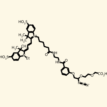 CCN1/C(=C/C=C/C2=[N+](CCCCCC(=O)NCCNC(=O)c3cccc(OCC(N=[N+]=[N-])OCCOCC(=O)O)c3)c3ccc(S(=O)(=O)O)cc3C2(C)C)C(C)(C)c2cc(S(=O)(=O)O)ccc21